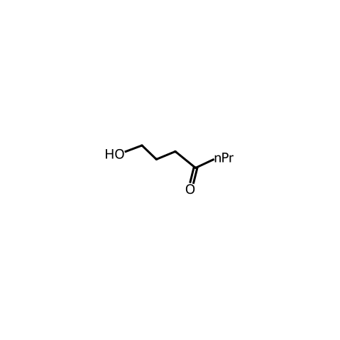 [CH2]CCC(=O)CCCO